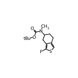 CN(C(=O)OC(C)(C)C)C1CCc2csc(F)c2C1